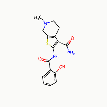 CN1CCc2c(sc(NC(=O)c3ccccc3O)c2C(N)=O)C1